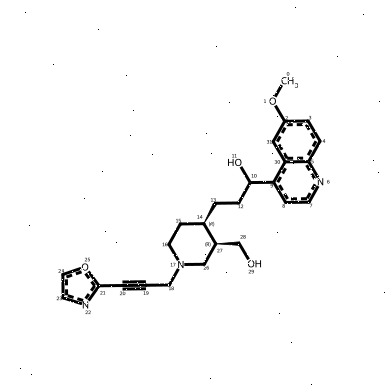 COc1ccc2nccc(C(O)CC[C@@H]3CCN(CC#Cc4ncco4)C[C@@H]3CO)c2c1